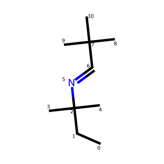 CCC(C)(C)/N=C/C(C)(C)C